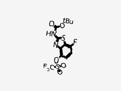 CC(C)(C)OC(=O)Nc1nc2c(OS(=O)(=O)C(F)(F)F)ccc(F)c2s1